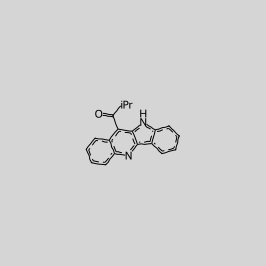 CC(C)C(=O)c1c2ccccc2nc2c1[nH]c1ccccc12